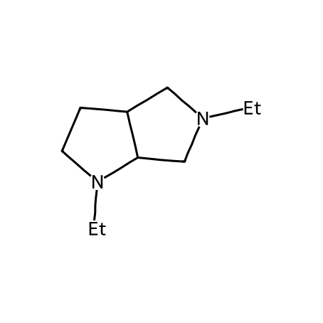 CCN1CC2CCN(CC)C2C1